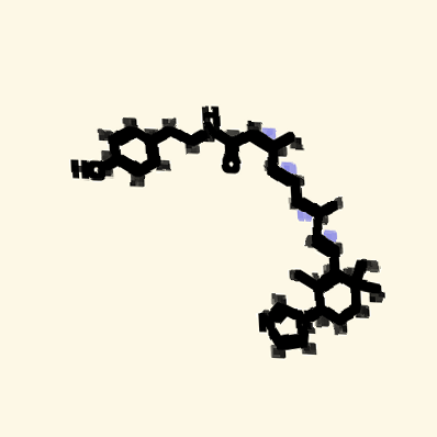 CC1=C(/C=C/C(C)=C/C=C/C(C)=C\C(=O)NCCc2ccc(O)cc2)C(C)(C)CCC1n1ccnc1